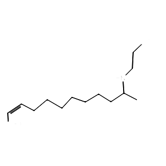 CCCCCCCC/C=C\CCCCCCCC(C)NCCS(=O)(=O)O